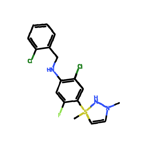 CN1C=CS(C)(c2cc(Cl)c(NCc3ccccc3Cl)cc2F)N1